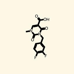 Cn1cc(C(=O)O)c(=O)n(Cc2ccc(F)c(F)c2)c1=O